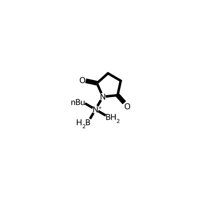 B[N+](B)(CCCC)N1C(=O)CCC1=O